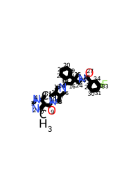 Cc1ncnc(C)c1C(=O)N1CC2CN(CCC3(c4ccccc4)CN(C(=O)c4cccc(F)c4)C3)CC2C1